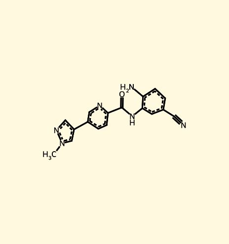 Cn1cc(-c2ccc(C(=O)Nc3cc(C#N)ccc3N)nc2)cn1